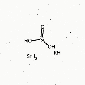 O=[Si](O)O.[KH].[SrH2]